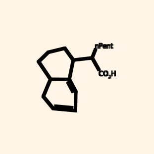 CCCCCC(C(=O)O)C1CCCC2CC=CC=C21